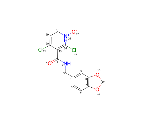 O=C(NCc1ccc2c(c1)OCO2)C1=C(Cl)[NH+]([O-])CC=C1Cl